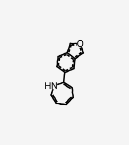 C1=CC=C(c2ccc3cocc3c2)NC=C1